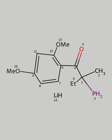 CCC(C)(P)C(=O)c1ccc(OC)cc1OC.[LiH]